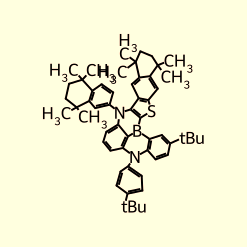 CC(C)(C)c1ccc(N2c3ccc(C(C)(C)C)cc3B3c4sc5cc6c(cc5c4N(c4ccc5c(c4)C(C)(C)CCC5(C)C)c4cccc2c43)C(C)(C)CCC6(C)C)cc1